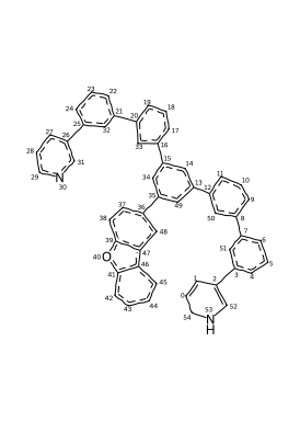 C1=CC(c2cccc(-c3cccc(-c4cc(-c5cccc(-c6cccc(-c7cccnc7)c6)c5)cc(-c5ccc6oc7ccccc7c6c5)c4)c3)c2)=CNC1